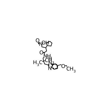 CCOCc1ccc2nc(CC(C)(C)CNC(=O)CC(CN(O)C=O)C3CCCC3)[nH]c2c1